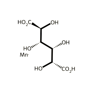 O=C(O)[C@@H](O)[C@@H](O)[C@H](O)[C@@H](O)C(=O)O.[Mn]